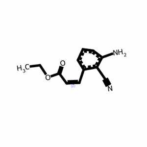 CCOC(=O)/C=C\c1cccc(N)c1C#N